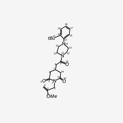 C=C(CN1C(=O)CC(CC(=O)N2CCN(c3ccccc3C(C)(C)C)CC2)CC1=O)OC